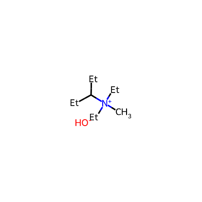 CCC(CC)[N+](C)(CC)CC.[OH-]